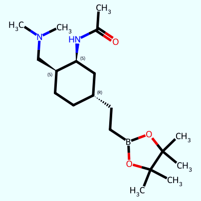 CC(=O)N[C@H]1C[C@H](CCB2OC(C)(C)C(C)(C)O2)CC[C@H]1CN(C)C